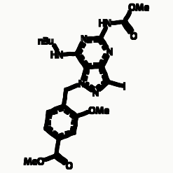 CCCCNc1nc(NC(=O)OC)nc2c(I)nn(Cc3ccc(C(=O)OC)cc3OC)c12